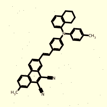 Cc1ccc(N(c2ccc(C=Cc3ccc4c(c3)c(C#N)c(C#N)c3cc(C)ccc34)cc2)c2cccc3c2CCCC3)cc1